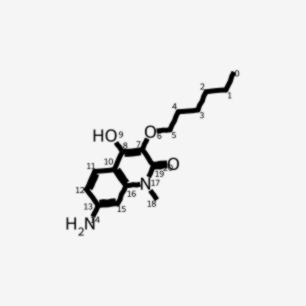 CCCCCCOc1c(O)c2ccc(N)cc2n(C)c1=O